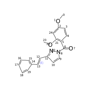 COc1ccc(C(=O)n2ccc(/C=C/c3ccccc3)n2)c(OC)c1